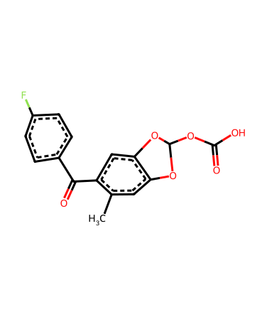 Cc1cc2c(cc1C(=O)c1ccc(F)cc1)OC(OC(=O)O)O2